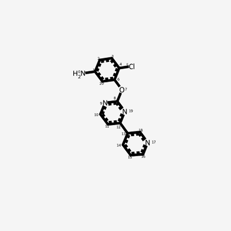 Nc1ccc(Cl)c(Oc2nccc(-c3cccnc3)n2)c1